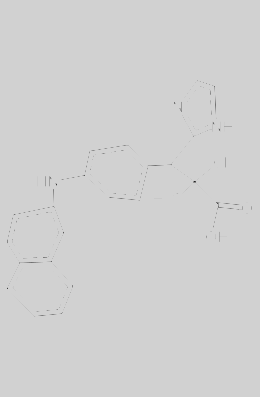 CC(C)(C(=O)O)C(c1ccc(Nc2ccc3ccccc3c2)cc1)c1ncc[nH]1